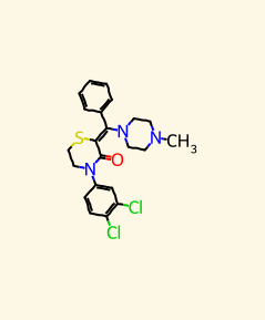 CN1CCN(C(=C2SCCN(c3ccc(Cl)c(Cl)c3)C2=O)c2ccccc2)CC1